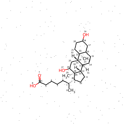 CC(CCCCC(=O)O)[C@H]1CC[C@H]2[C@@H]3CCC4CC(O)CC[C@]4(C)[C@H]3CC(O)[C@]12C